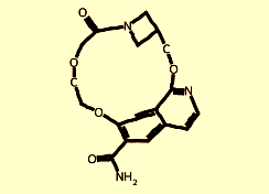 NC(=O)c1cc2ccnc3c2cc1OCCOCC(=O)N1CC(CO3)C1